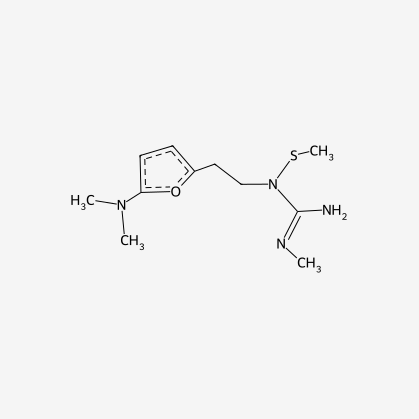 CN=C(N)N(CCc1ccc(N(C)C)o1)SC